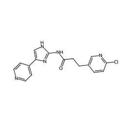 O=C(CCc1ccc(Cl)nc1)Nc1nc(-c2ccncc2)c[nH]1